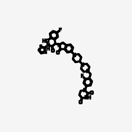 O=C1CCN(c2ccc(CN3CCN(C4CCN(c5ccc6c(c5)C(=O)N(C(C(=O)Nc5nccs5)c5cc(F)ccc5O)C6)CC4)CC3)c(F)c2)C(=O)N1